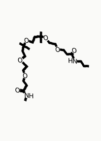 CCCNC(=O)CCOCCOC(C)(C)CCOC(C)(C)CCOCCOCCC(=O)NC